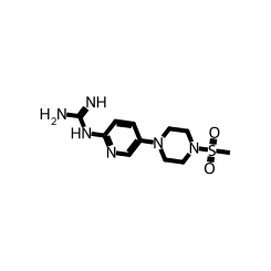 CS(=O)(=O)N1CCN(c2ccc(NC(=N)N)nc2)CC1